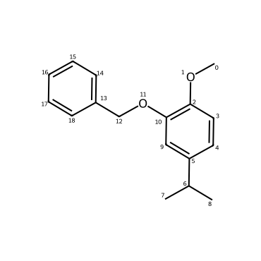 COc1ccc(C(C)C)cc1OCc1ccccc1